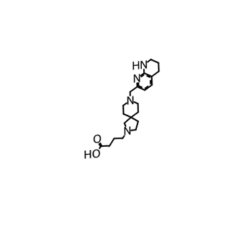 O=C(O)CCCN1CCC2(CCN(Cc3ccc4c(n3)NCCC4)CC2)C1